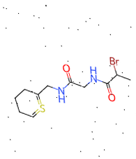 CC(Br)C(=O)NCC(=O)NCC1=S=CCCC1